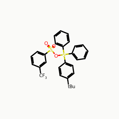 CC(C)(C)c1ccc(S(OS(=O)(=O)c2cccc(C(F)(F)F)c2)(c2ccccc2)c2ccccc2)cc1